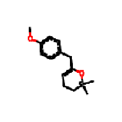 COc1ccc(CC2=CCC[Si](C)(C)O2)cc1